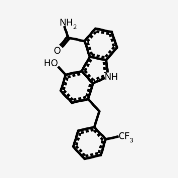 NC(=O)c1cccc2[nH]c3c(Cc4ccccc4C(F)(F)F)ccc(O)c3c12